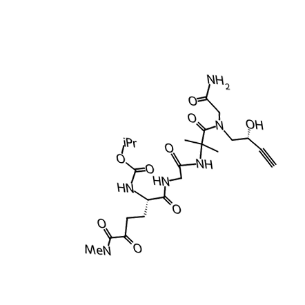 C#C[C@@H](O)CN(CC(N)=O)C(=O)C(C)(C)NC(=O)CNC(=O)[C@H](CCC(=O)C(=O)NC)NC(=O)OC(C)C